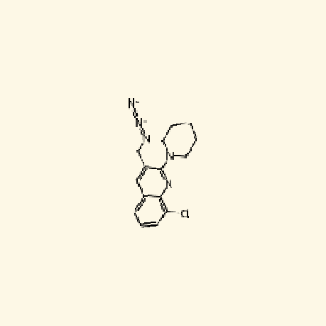 [N-]=[N+]=NCc1cc2cccc(Cl)c2nc1N1CCCCC1